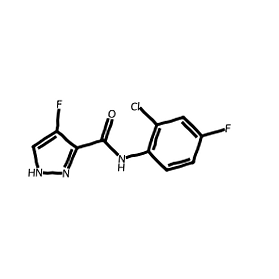 O=C(Nc1ccc(F)cc1Cl)c1n[nH]cc1F